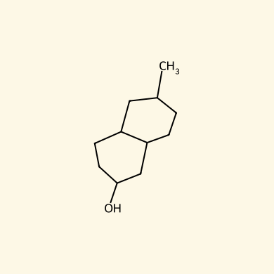 CC1CCC2CC(O)CCC2C1